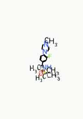 C[C@H](N[S@@+]([O-])C(C)(C)C)c1ccc(N2CCN(C)CC2)c(F)c1